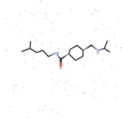 CC(C)CCCNC(=O)[C@H]1CC[C@@H](CNC(C)C)CC1